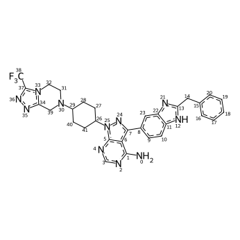 Nc1ncnc2c1c(-c1ccc3[nH]c(Cc4ccccc4)nc3c1)nn2C1CCC(N2CCn3c(nnc3C(F)(F)F)C2)CC1